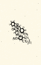 CCOC(=O)c1cc(C#N)c(N2CCC(C(=O)N(c3ccccc3)S(=O)(=O)Cc3ccc(C#N)cc3)CC2)nc1C